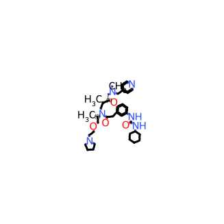 CC1CN([C@@H](C)COCCN2CCCC2)C(=O)Cc2cc(NC(=O)NC3CCCCC3)ccc2O[C@H]1CN(C)Cc1ccncc1